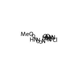 COc1ccc(CNc2ccc3ccc(N(C)CC4=C[C@@H](n5ccc6c(Cl)ncnc65)[C@@H]5OC(C)(C)O[C@H]45)cc3n2)cc1